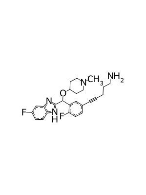 CN1CCC(OC(c2nc3cc(F)ccc3[nH]2)c2cc(C#CCCCN)ccc2F)CC1